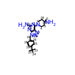 CC1(N)CCN(c2nc(N)nc3c2nnn3Cc2ccc(C(C)(C)C)cc2)CC1